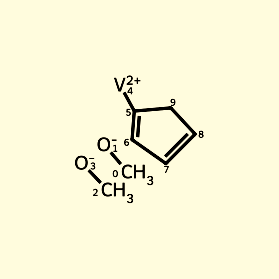 C[O-].C[O-].[V+2][C]1=CC=CC1